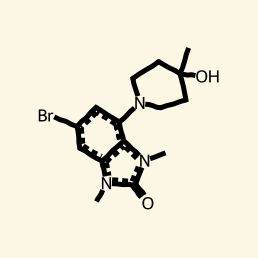 Cn1c(=O)n(C)c2c(N3CCC(C)(O)CC3)cc(Br)cc21